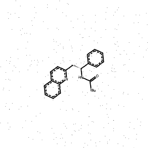 CC(C)(C)C(=O)N[C@H](Cc1ccc2ccccc2n1)c1ccccc1